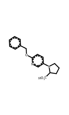 O=C(O)C1CCCN1c1ccc(OCc2ccccc2)nc1